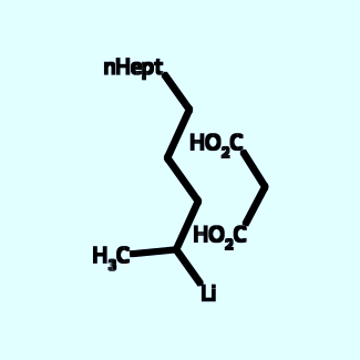 O=C(O)CC(=O)O.[Li][CH](C)CCCCCCCCCC